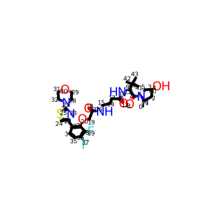 C[C@@H]1C[C@@H](O)CN1C(=O)[C@@H](NC(=O)CCCNC(=O)COc1c(-c2csc(N3CCOCC3)n2)ccc(F)c1F)C(C)(C)C